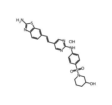 Cl.Nc1nc2ccc(/C=C/c3cnc(Nc4ccc(S(=O)(=O)N5CCCC(O)C5)cc4)nc3)cc2s1